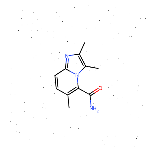 Cc1ccc2nc(C)c(C)n2c1C(N)=O